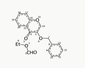 CCOC=O.O=c1c(OCc2ccccc2)coc2ccccc12